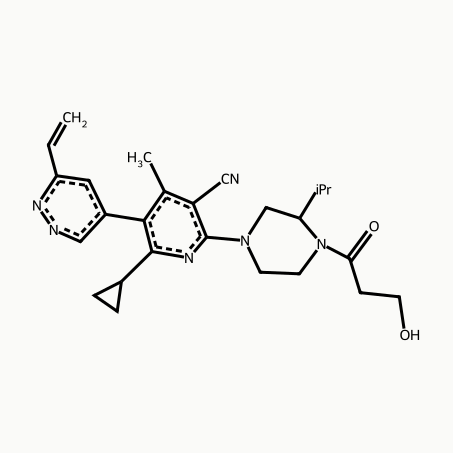 C=Cc1cc(-c2c(C3CC3)nc(N3CCN(C(=O)CCO)C(C(C)C)C3)c(C#N)c2C)cnn1